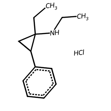 CCNC1(CC)CC1c1ccccc1.Cl